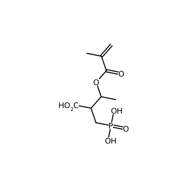 C=C(C)C(=O)OC(C)C(CP(=O)(O)O)C(=O)O